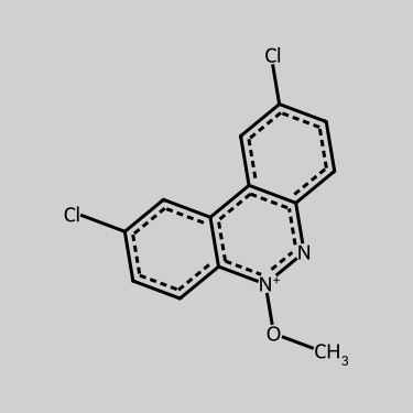 CO[n+]1nc2ccc(Cl)cc2c2cc(Cl)ccc21